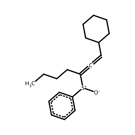 CCCCC(=C=CC1CCCCC1)[S+]([O-])c1ccccc1